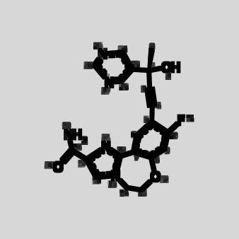 C[C@@](O)(C#Cc1cc2c(cc1F)OCCn1cc(C(N)=O)nc1-2)c1cncnc1